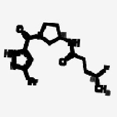 CC(C)c1cc(C(=O)N2CC[C@@H](NC(=O)CC[C@H](C)F)C2)[nH]n1